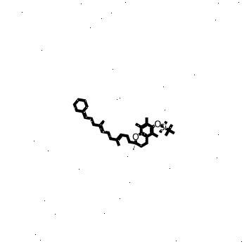 C/C(=C\CC/C(C)=C/CC[C@]1(C)CCc2c(C)c(O[Si](C)(C)C(C)(C)C)c(C)c(C)c2O1)CCC=C1CCCCC1